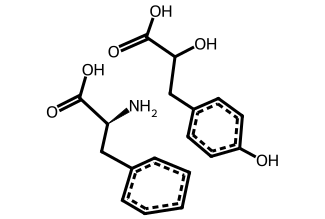 N[C@@H](Cc1ccccc1)C(=O)O.O=C(O)C(O)Cc1ccc(O)cc1